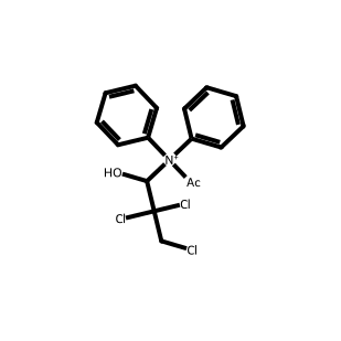 CC(=O)[N+](c1ccccc1)(c1ccccc1)C(O)C(Cl)(Cl)CCl